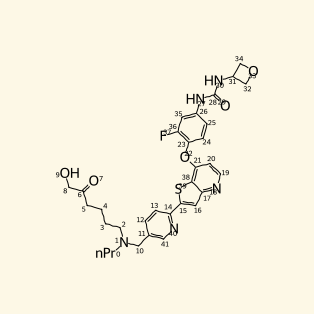 CCCN(CCCCC(=O)CO)Cc1ccc(-c2cc3nccc(Oc4ccc(NC(=O)NC5COC5)cc4F)c3s2)nc1